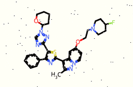 Cc1nn2ccc(OCCN3CCC(F)CC3)cc2c1-c1nc(-c2ccccc2)c(-c2ncn(C3CCCCO3)n2)s1